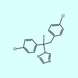 FC(Cc1ccc(Cl)cc1)(c1ccc(Cl)cc1)n1cncn1